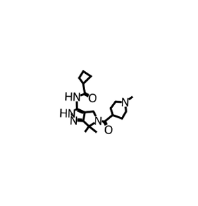 CN1CCC(C(=O)N2Cc3c(n[nH]c3NC(=O)C3CCC3)C2(C)C)CC1